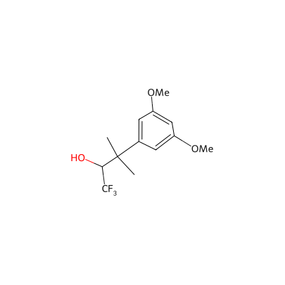 COc1cc(OC)cc(C(C)(C)C(O)C(F)(F)F)c1